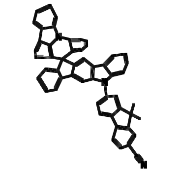 CC1(C)c2cc(C#N)ccc2-c2ccc(-n3c4ccccc4c4cc5c(cc43)-c3ccccc3C53c4ccccc4-n4c5ccccc5c5cccc3c54)cc21